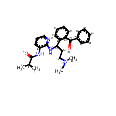 CC(C)C(=O)Nc1cccnc1NC(CCN(C)C)c1ccccc1C(=O)c1ccccc1